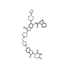 O=C1CCC(N2Cc3cc(N4CCC(CN5CCC(N6Cc7cc(NC(=O)c8cnn9cccnc89)c(N8CCC(N9CCC9)CC8)cc7C6=O)CC5)CC4)ccc3C2=O)C(=O)N1